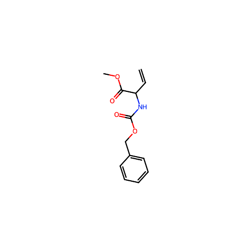 C=CC(NC(=O)OCc1ccccc1)C(=O)OC